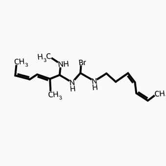 C/C=C\C=C/CCNC(Br)NC(NC)/C(C)=C/C=C\C